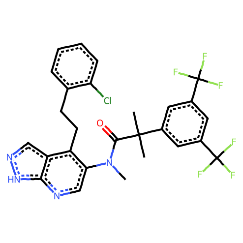 CN(C(=O)C(C)(C)c1cc(C(F)(F)F)cc(C(F)(F)F)c1)c1cnc2[nH]ncc2c1CCc1ccccc1Cl